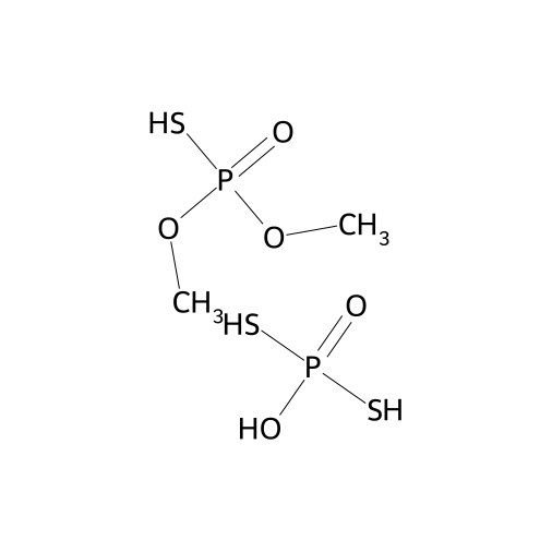 COP(=O)(S)OC.O=P(O)(S)S